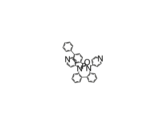 O=P1(c2ccc(-c3ccccc3)cc2)N(c2ccncc2)c2ccccc2-c2ccccc2N1c1ccncc1